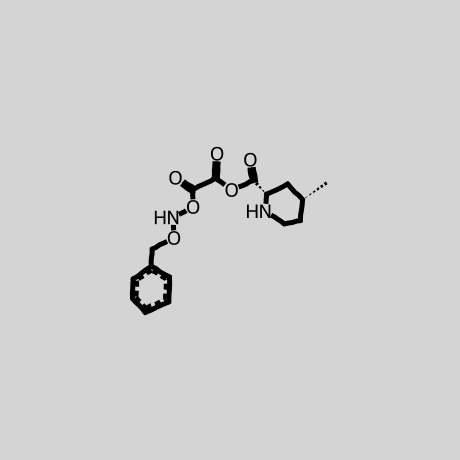 C[C@@H]1CCN[C@H](C(=O)OC(=O)C(=O)ONOCc2ccccc2)C1